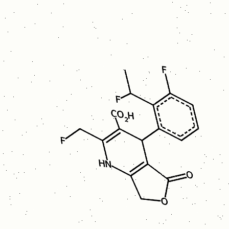 CC(F)c1c(F)cccc1C1C(C(=O)O)=C(CF)NC2=C1C(=O)OC2